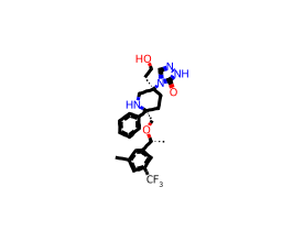 Cc1cc([C@@H](C)OC[C@@]2(c3ccccc3)CC[C@](CCO)(n3cn[nH]c3=O)CN2)cc(C(F)(F)F)c1